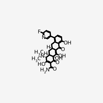 CN(C)[C@H]1C(O)=C(C(N)=O)C(=O)[C@]2(O)C(O)=C3C(=O)c4c(O)ccc(-c5ccc(F)nc5)c4C[C@@H]3C[C@H]12